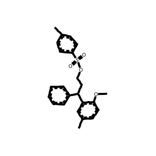 COc1ccc(C)cc1C(CCOS(=O)(=O)c1ccc(C)cc1)c1ccccc1